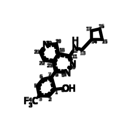 Oc1cc(C(F)(F)F)ccc1-c1nnc(NCC2CCC2)c2cnccc12